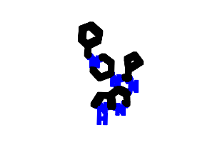 c1ccc(CN2CCC(n3c(C4CCC4)nc4cnc5[nH]ccc5c43)CC2)cc1